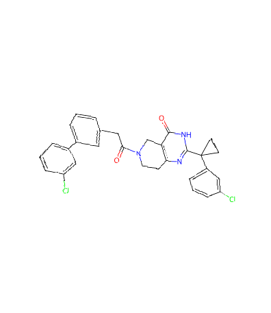 O=C(Cc1cccc(-c2cccc(Cl)c2)c1)N1CCc2nc(C3(c4cccc(Cl)c4)CC3)[nH]c(=O)c2C1